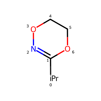 CC(C)C1=NOCCO1